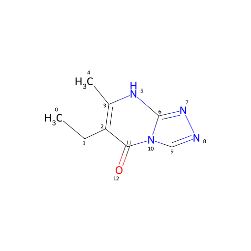 CCc1c(C)[nH]c2nncn2c1=O